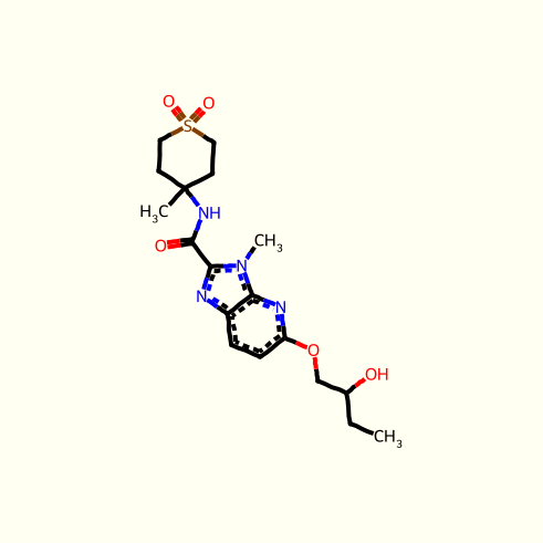 CCC(O)COc1ccc2nc(C(=O)NC3(C)CCS(=O)(=O)CC3)n(C)c2n1